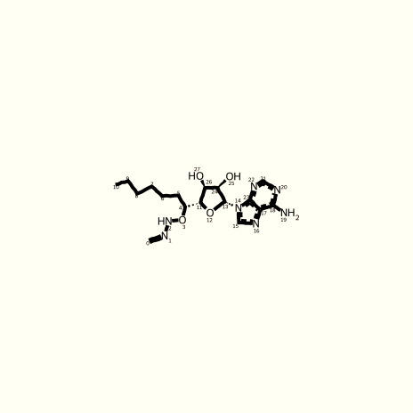 C=NNOC(CCCCCC)[C@H]1O[C@@H](n2cnc3c(N)ncnc32)[C@H](O)[C@@H]1O